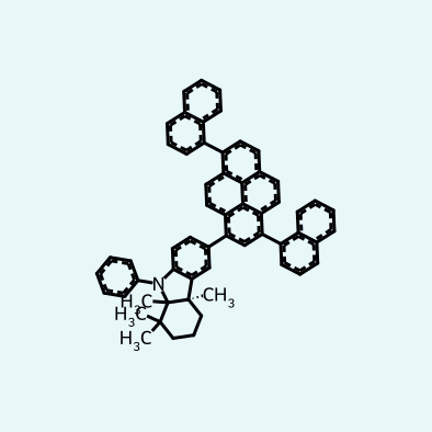 CC1(C)CCC[C@]2(C)c3cc(-c4cc(-c5cccc6ccccc56)c5ccc6ccc(-c7cccc8ccccc78)c7ccc4c5c67)ccc3N(c3ccccc3)C12C